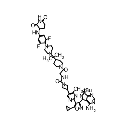 Cc1nc(-c2c(-c3nn(C(C)(C)C)c4ncnc(N)c34)noc2C2CC2)ncc1C1CN(C(=O)NCC(=O)N2CCC(C(C)(C)N3CCN(c4c(F)cc(NC5CCC(=O)NC5=O)cc4F)CC3)CC2)C1